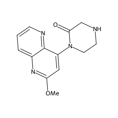 COc1cc(N2CCNCC2=O)c2ncccc2n1